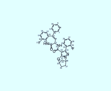 O=C(NC1C=C(c2ccccc2)c2cccc(F)c2NC1=O)c1c(-c2ccccc2F)nn2c1OC1CCC2C1